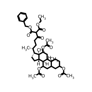 CCOC(=O)C(C(=O)CC[C@@H](C)[C@H]1CC[C@H]2[C@@H]3C(OC(C)=O)CC4CC(OC(C)=O)CC[C@]4(C)[C@H]3CC(OC(C)=O)[C@]12C)C(=O)OCc1ccccc1